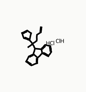 C=CCCC(C)(C1=CC=CC1)C1c2ccccc2-c2ccccc21.Cl.Cl